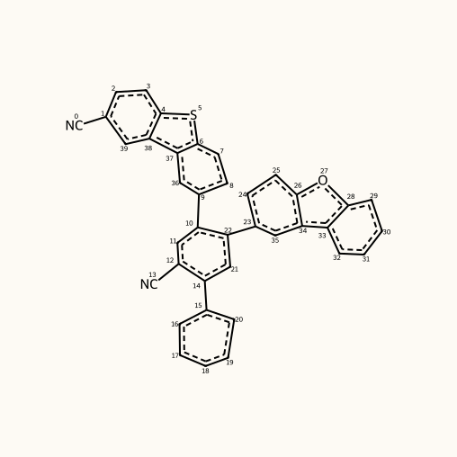 N#Cc1ccc2sc3ccc(-c4cc(C#N)c(-c5ccccc5)cc4-c4ccc5oc6ccccc6c5c4)cc3c2c1